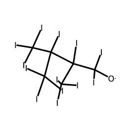 [O]C(I)(I)C(I)(C(I)(I)I)C(I)(C(I)(I)I)C(I)(I)I